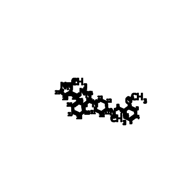 COc1ccccc1CN(C)C1CCN(c2nnc(-c3ccnn3C)c3ccccc23)CC1